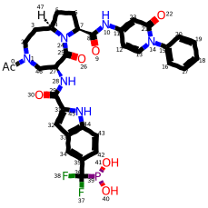 CC(=O)N1CC[C@H]2CC[C@@H](C(=O)Nc3ccn(-c4ccccc4)c(=O)c3)N2C(=O)[C@@H](NC(=O)c2cc3cc(C(F)(F)P(O)O)ccc3[nH]2)C1